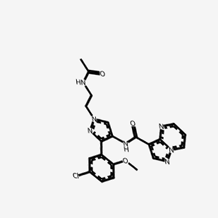 COc1ccc(Cl)cc1-c1nn(CCNC(C)=O)cc1NC(=O)c1cnn2cccnc12